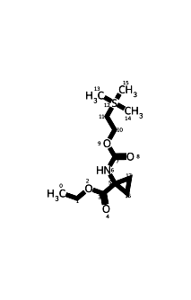 CCOC(=O)C1(NC(=O)OCCS(C)(C)C)CC1